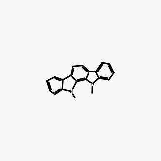 Cn1c2ccccc2c2ccc3c4ccccc4n(C)c3c21